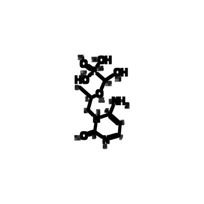 CC(Cn1c(N)ccnc1=O)OC(O)P(=O)(O)O